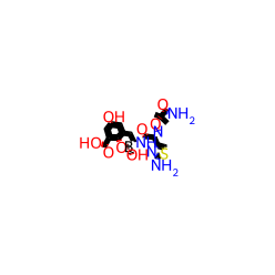 CC(C)(O/N=C(\C(=O)N[C@H]1Cc2cc(O)cc(C(=O)O)c2OB1O)c1csc(N)n1)C(N)=O